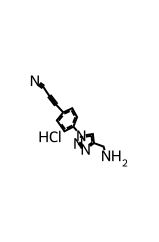 Cl.N#CC#Cc1ccc(-n2cc(CN)nn2)cc1